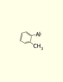 Cc1cccc[c]1[Al]